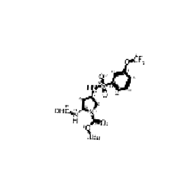 CC(C)(C)OC(=O)N1C[C@H](NS(=O)(=O)c2cccc(OC(F)(F)F)c2)C[C@H]1NC=O